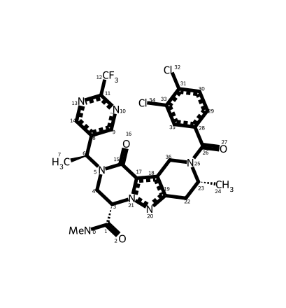 CNC(=O)[C@@H]1CN([C@@H](C)c2cnc(C(F)(F)F)nc2)C(=O)c2c3c(nn21)C[C@@H](C)N(C(=O)c1ccc(Cl)c(Cl)c1)C3